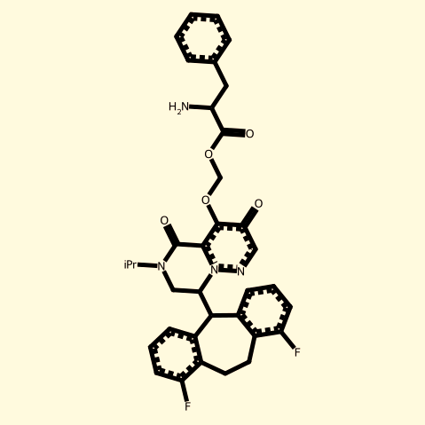 CC(C)N1CC(C2c3cccc(F)c3CCc3c(F)cccc32)n2ncc(=O)c(OCOC(=O)C(N)Cc3ccccc3)c2C1=O